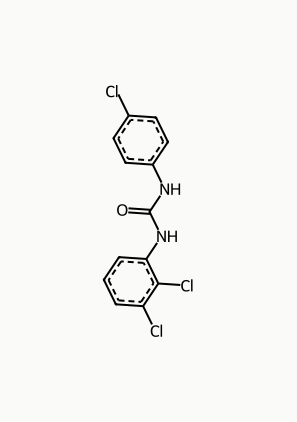 O=C(Nc1ccc(Cl)cc1)Nc1cccc(Cl)c1Cl